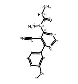 COc1cccc(-c2ncnc(N(N)C(=O)NN)c2C#N)c1